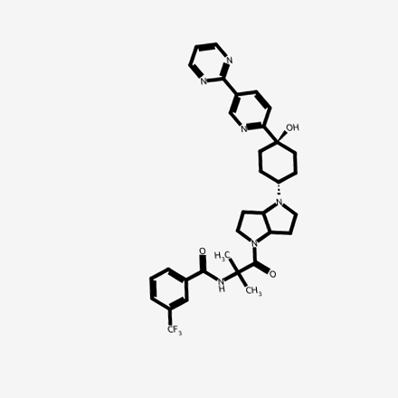 CC(C)(NC(=O)c1cccc(C(F)(F)F)c1)C(=O)N1CCC2C1CCN2[C@H]1CC[C@@](O)(c2ccc(-c3ncccn3)cn2)CC1